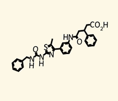 Cc1sc(NC(=O)NCc2ccccc2)nc1-c1cccc(NC(=O)CC(CC(=O)O)c2ccccc2)c1